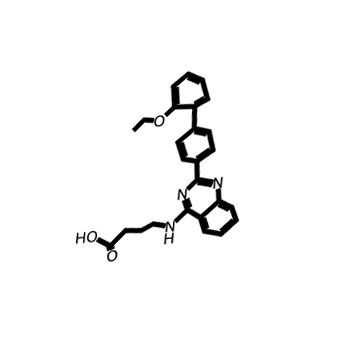 CCOc1ccccc1-c1ccc(-c2nc(NCCCC(=O)O)c3ccccc3n2)cc1